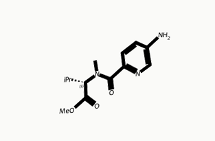 COC(=O)[C@H](C(C)C)N(C)C(=O)c1ccc(N)cn1